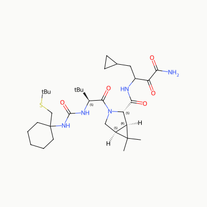 CC(C)(C)SCC1(NC(=O)N[C@H](C(=O)N2C[C@H]3[C@@H]([C@H]2C(=O)NC(CC2CC2)C(=O)C(N)=O)C3(C)C)C(C)(C)C)CCCCC1